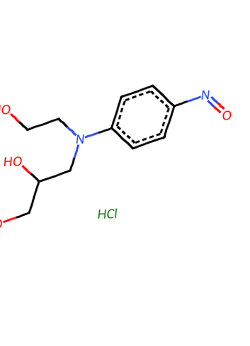 COCC(O)CN(CCO)c1ccc(N=O)cc1.Cl